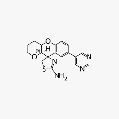 NC1=NC2(CS1)c1cc(-c3cncnc3)ccc1OC1CCCO[C@@H]12